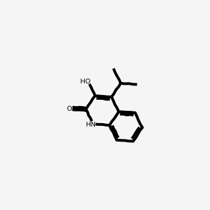 CC(C)c1c(O)c(=O)[nH]c2ccccc12